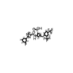 O=C(Nc1cnn(Cc2ccc(C(F)(F)F)cc2C(F)(F)F)c1)c1nc(-c2cccc(F)c2)no1.O=CO